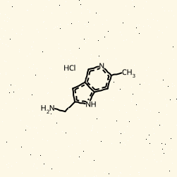 Cc1cc2[nH]c(CN)cc2cn1.Cl